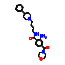 Nc1cc(C(=O)N2CCOCC2)ccc1C(=O)NCCCCN1CC=C(c2ccccc2)CC1